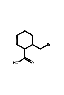 O=C(O)C1CCCCC1CBr